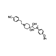 CC(C)Oc1ccc(N(C)CC(O)C2(O)CCN(CCc3ccc(C#N)cc3)CC2)cc1